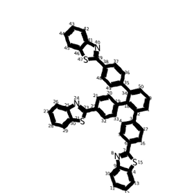 c1cc(-c2ccc(-c3nc4ccccc4s3)cc2)c(-c2ccc(-c3nc4ccccc4s3)cc2)c(-c2ccc(-c3nc4ccccc4s3)cc2)c1